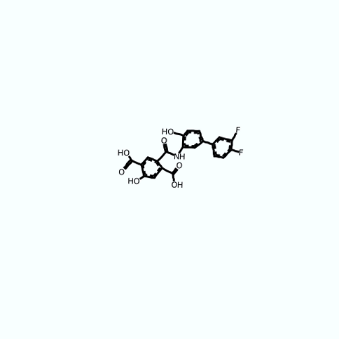 O=C(O)c1cc(C(=O)Nc2cc(-c3ccc(F)c(F)c3)ccc2O)c(C(=O)O)cc1O